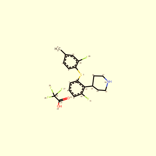 Cc1ccc(Sc2cccc(F)c2C2CCNCC2)c(F)c1.O=C(O)C(F)(F)F